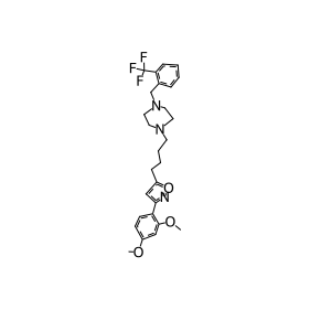 COc1ccc(-c2cc(CCCCN3CCN(Cc4ccccc4C(F)(F)F)CC3)on2)c(OC)c1